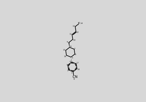 N#Cc1ccc([C@H]2CC[C@H](CC/C=C/CF)CC2)cc1